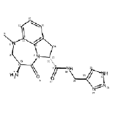 CN1C[C@H](N)C(=O)N2c3c(cccc31)C[C@@H]2C(=O)NCc1c[nH]nn1